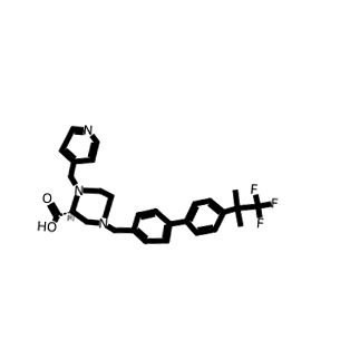 CC(C)(c1ccc(-c2ccc(CN3CCN(Cc4ccncc4)[C@@H](C(=O)O)C3)cc2)cc1)C(F)(F)F